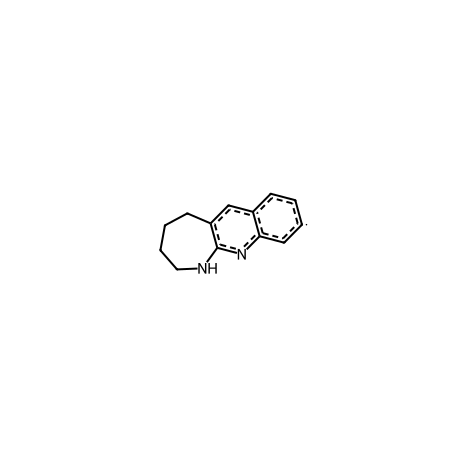 [c]1ccc2cc3c(nc2c1)NCCCC3